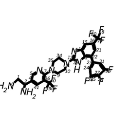 NCC(N)c1cnc(N2CCN(c3nc4cc(C(F)(F)F)cc(-c5cc(F)c(F)c(F)c5)c4[nH]3)CC2)c(C(F)(F)F)c1